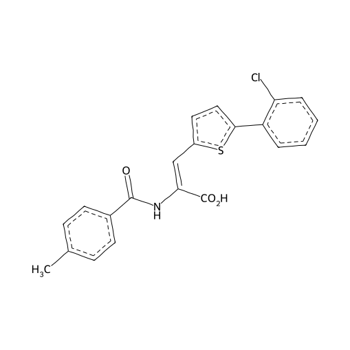 Cc1ccc(C(=O)NC(=Cc2ccc(-c3ccccc3Cl)s2)C(=O)O)cc1